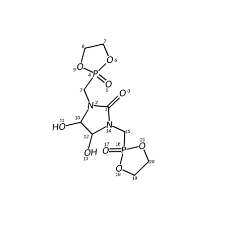 O=C1N(CP2(=O)OCCO2)C(O)C(O)N1CP1(=O)OCCO1